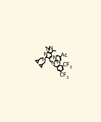 CC(=O)c1cnc(N(Cc2cc(C(F)(F)F)cc(C(F)(F)F)c2)Cc2cc3c(C)nn(C)c3nc2N(CC2CC2)CC2CC2)nc1